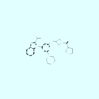 O=C(C1CCOC1)N1CC(Oc2cc(-n3c(C(F)F)nc4ccccc43)nc(N3CCOCC3)n2)C1